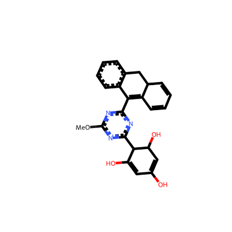 COc1nc(C2=C3C=CC=CC3Cc3ccccc32)nc(C2C(O)=CC(O)=CC2O)n1